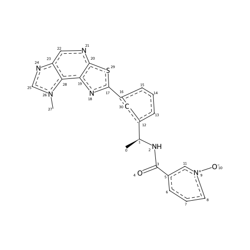 C[C@H](NC(=O)c1ccc[n+]([O-])c1)c1cccc(-c2nc3c(ncc4ncn(C)c43)s2)c1